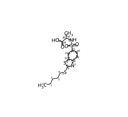 CCCCCSc1nc2ccc(S(=O)(=O)N[C@H](C)C(=O)O)cc2s1